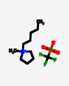 CCCCC[N+]1(C)CCCC1.O=S(=O)([O-])C(F)(F)F